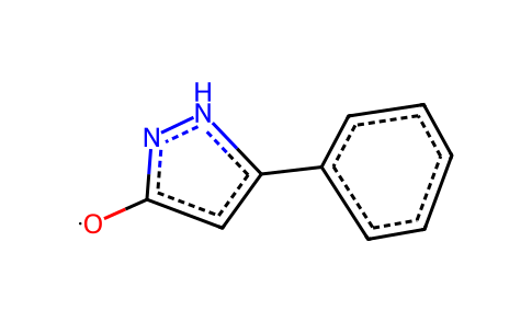 [O]c1cc(-c2ccccc2)[nH]n1